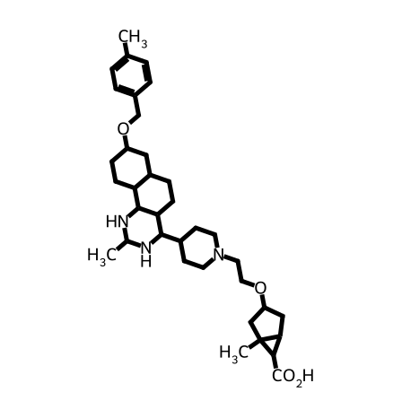 Cc1ccc(COC2CCC3C(CCC4C(C5CCN(CCOC6CC7C(C(=O)O)C7(C)C6)CC5)NC(C)NC34)C2)cc1